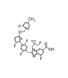 Cc1ccc(COc2ccc(F)c(-c3cc(F)c(Cc4nc5c(F)cc(C(=O)O)cc5n4CC4(CF)CC4)cc3F)n2)c(F)c1